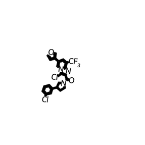 O=C(c1nc2c(C(F)(F)F)cc(-c3ccoc3)cn2c1Cl)N1CCC(c2cccc(Cl)c2)C1